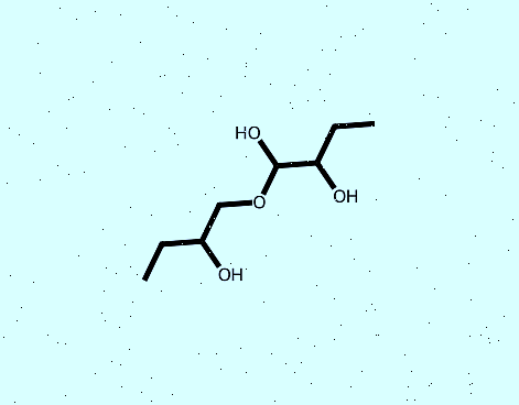 CCC(O)COC(O)C(O)CC